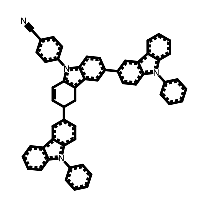 N#Cc1ccc(-n2c3c(c4cc(-c5ccc6c(c5)c5ccccc5n6-c5ccccc5)ccc42)CC(c2ccc4c(c2)c2ccccc2n4-c2ccccc2)C=C3)cc1